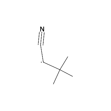 CC(C)(C)[CH]C#N